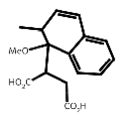 COC1(C(CC(=O)O)C(=O)O)c2ccccc2C=CC1C